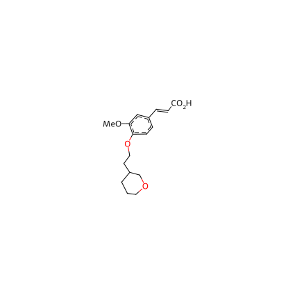 COc1cc(/C=C/C(=O)O)ccc1OCCC1CCCOC1